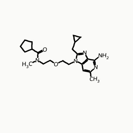 Cc1cc2c(nc(CC3CC3)n2CCOCCN(C)C(=O)C2CCCC2)c(N)n1